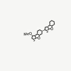 COc1csc2oc3cc(-c4cc5c(oc6ccccc65)s4)ccc3c12